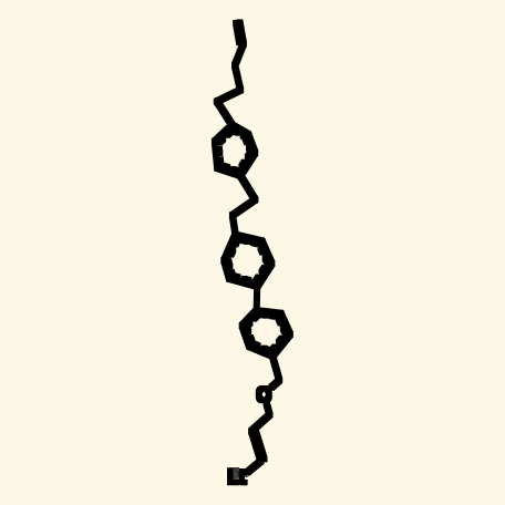 C=CCCCc1ccc(CCc2ccc(-c3ccc(COC/C=C/CC)cc3)cc2)cc1